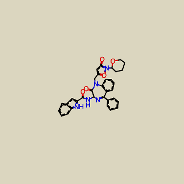 O=C(NC1N=C(c2ccccc2)c2ccccc2N(Cc2cc(=O)n(C3CCCCO3)o2)C1=O)c1cc2ccccc2[nH]1